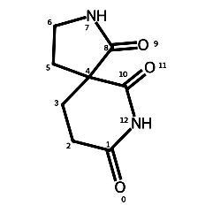 O=C1CCC2(CCNC2=O)C(=O)N1